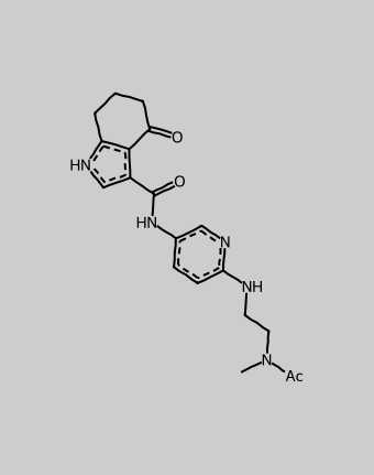 CC(=O)N(C)CCNc1ccc(NC(=O)c2c[nH]c3c2C(=O)CCC3)cn1